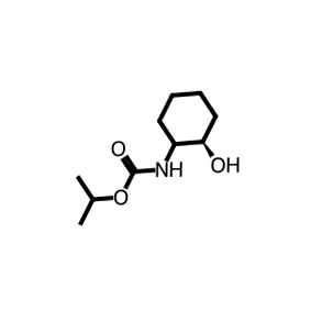 CC(C)OC(=O)NC1CCCC[C@H]1O